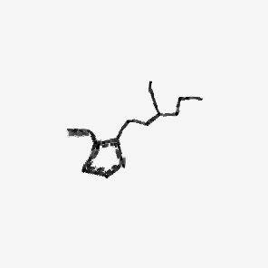 C=Cn1ccnc1CCC(I)CCC